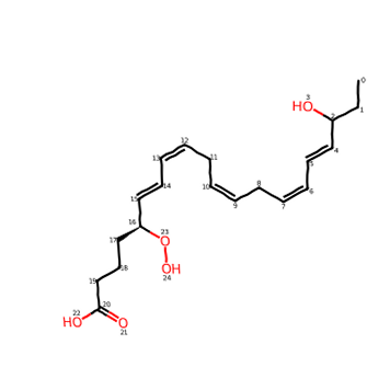 CCC(O)/C=C/C=C\C/C=C\C/C=C\C=C\[C@H](CCCC(=O)O)OO